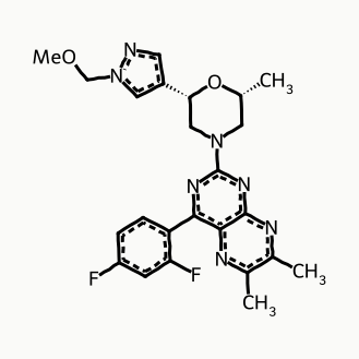 COCn1cc([C@H]2CN(c3nc(-c4ccc(F)cc4F)c4nc(C)c(C)nc4n3)C[C@@H](C)O2)cn1